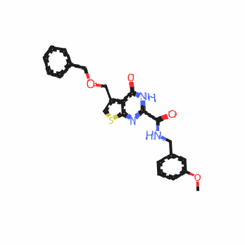 COc1cccc(CNC(=O)c2nc3scc(COCc4ccccc4)c3c(=O)[nH]2)c1